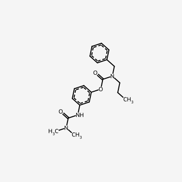 CCCN(Cc1ccccc1)C(=O)Oc1cccc(NC(=O)N(C)C)c1